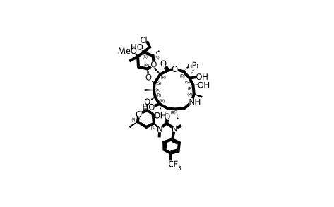 CCC[C@H]1OC(=O)[C@H](C)[C@@H](O[C@H]2C[C@@](C)(OC)[C@](O)(CCl)[C@H](C)O2)[C@H](C)[C@@H](O[C@@H]2O[C@H](C)C[C@H](N(C)C(=O)N(C)c3ccc(C(F)(F)F)cc3)[C@H]2O)[C@](C)(O)C[C@@H](C)CN[C@H](C)[C@@H](O)[C@]1(C)O